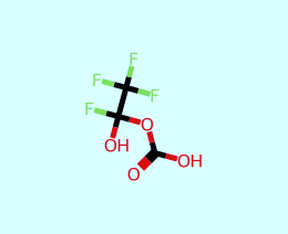 O=C(O)OC(O)(F)C(F)(F)F